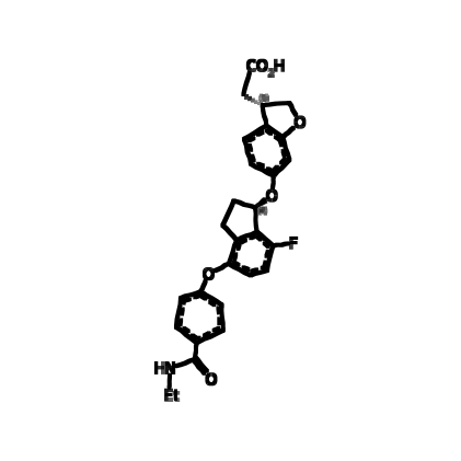 CCNC(=O)c1ccc(Oc2ccc(F)c3c2CC[C@H]3Oc2ccc3c(c2)OC[C@H]3CC(=O)O)cc1